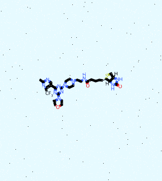 Cc1ncc(-c2nc(N3CCOCC3)nc(N3CCN(CCNC(=O)CCCC[C@@H]4SC[C@@H]5NC(=O)N[C@@H]54)CC3)n2)c(C(F)(F)F)n1